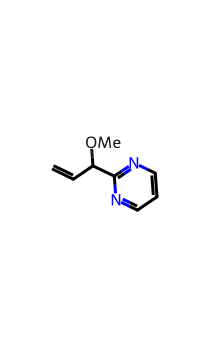 C=CC(OC)c1ncccn1